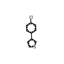 Clc1ccc(-c2[c]scc2)cc1